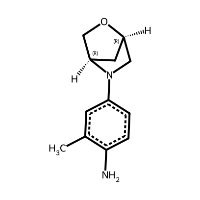 Cc1cc(N2C[C@H]3C[C@@H]2CO3)ccc1N